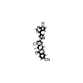 C[C@@H]1CN(CC(CC#N)n2cc(-c3ncnc4[nH]ccc34)cn2)CCN1C(=O)c1ccc(C#N)cc1F